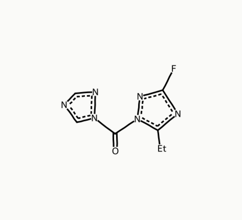 CCc1nc(F)nn1C(=O)n1cncn1